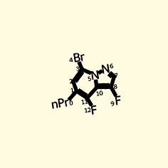 CCCc1cc(Br)n2ncc(F)c2c1F